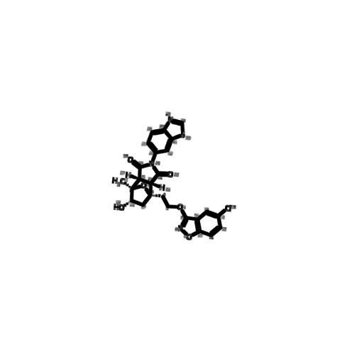 C[C@]12O[C@](CCOc3noc4ccc(Cl)cc34)(C[C@@H]1O)[C@H]1C(=O)N(c3ccc4ncsc4c3)C(=O)[C@H]12